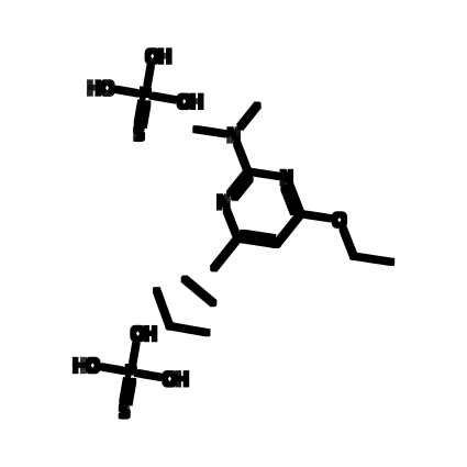 CC.CCC.CCOc1cc(C)nc(N(C)C)n1.OP(O)(O)=S.OP(O)(O)=S